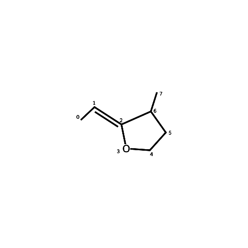 CC=C1OCCC1C